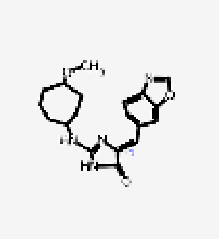 COC1CCCC(NC2=N/C(=C\c3ccc4ncoc4c3)C(=O)N2)CC1